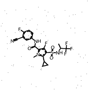 CC(NS(=O)(=O)c1c(F)c(C(=O)Nc2ccc(F)c(C#N)c2)n(C)c1C1CC1)C(F)(F)F